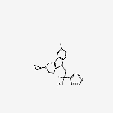 Cc1ccc2c(c1)c1c(n2CC(C)(O)c2ccncc2)CCN(C2CC2)C1